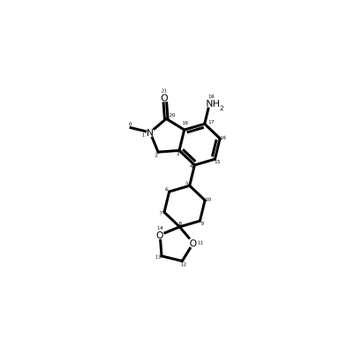 CN1Cc2c(C3CCC4(CC3)OCCO4)ccc(N)c2C1=O